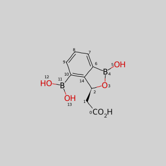 O=C(O)C[C@@H]1OB(O)c2cccc(B(O)O)c21